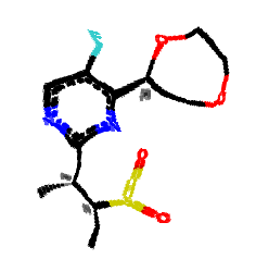 C[C@H](c1ncc(F)c([C@@H]2COCCO2)n1)[C@H](C)[SH](=O)=O